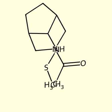 CSNC1C2CCC1CN(C(C)=O)C2